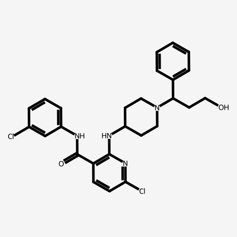 O=C(Nc1cccc(Cl)c1)c1ccc(Cl)nc1NC1CCN(C(CCO)c2ccccc2)CC1